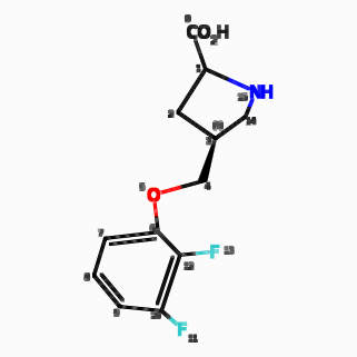 O=C(O)C1C[C@H](COc2cccc(F)c2F)CN1